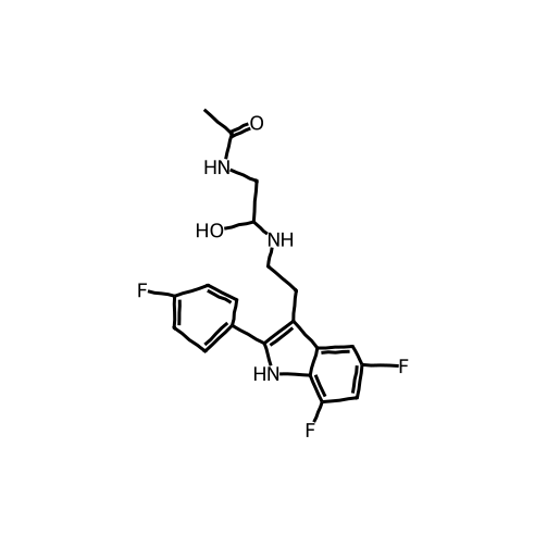 CC(=O)NCC(O)NCCc1c(-c2ccc(F)cc2)[nH]c2c(F)cc(F)cc12